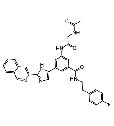 CC(=O)NCC(=O)Nc1cc(C(=O)NCCc2ccc(F)cc2)cc(-c2cnc(-c3cc4ccccc4cn3)[nH]2)c1